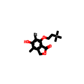 CCc1c(O)c(C)c2c(c1OCC[Si](C)(C)C)C(=O)OC2